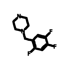 Fc1cc(F)c(CN2CC[N]CC2)cc1F